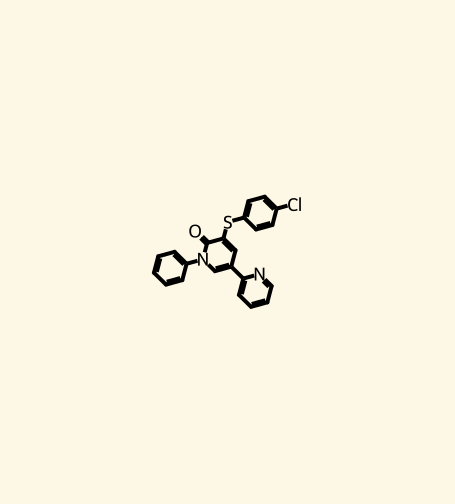 O=c1c(Sc2ccc(Cl)cc2)cc(-c2ccccn2)cn1-c1ccccc1